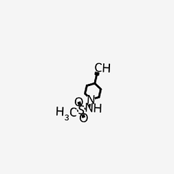 C#CC1CCN(NS(C)(=O)=O)CC1